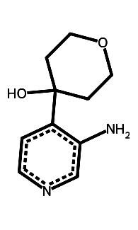 Nc1cnccc1C1(O)CCOCC1